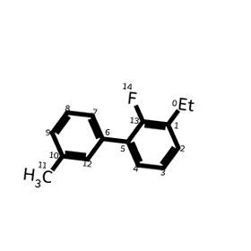 CCc1cccc(-c2cccc(C)c2)c1F